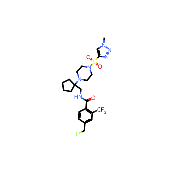 Cn1cc(S(=O)(=O)N2CCN(C3(CNC(=O)c4ccc(CF)cc4C(F)(F)F)CCCC3)CC2)nn1